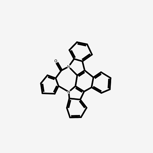 O=c1c2ccccc2n2c3ccccc3c3c4ccccc4c4c5ccccc5n1c4c32